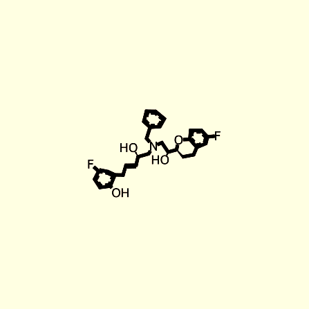 Oc1ccc(F)cc1C/C=C/[C@H](O)CN(Cc1ccccc1)C[C@@H](O)[C@@H]1CCc2cc(F)ccc2O1